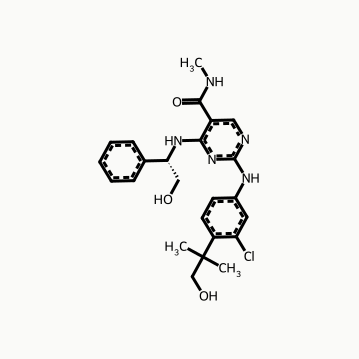 CNC(=O)c1cnc(Nc2ccc(C(C)(C)CO)c(Cl)c2)nc1N[C@H](CO)c1ccccc1